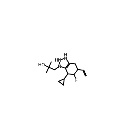 C=CC1CC2=C(C(C3CC3)C1F)N(CC(C)(C)O)NN2